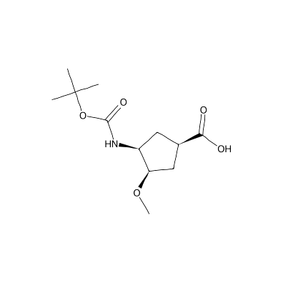 CO[C@@H]1C[C@H](C(=O)O)C[C@@H]1NC(=O)OC(C)(C)C